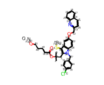 CC(C)(Cc1c(SC(C)(C)C)c2cc(OCc3ccc4ccccc4n3)ccc2n1Cc1ccc(Cl)cc1)OC(=O)CCCCO[N+](=O)[O-]